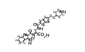 O=C(N[C@@H](CNC(=O)c1cc2cc(CCC3CCNCC3)sc2s1)C(=O)O)C1=Nc2ccccc2C1O